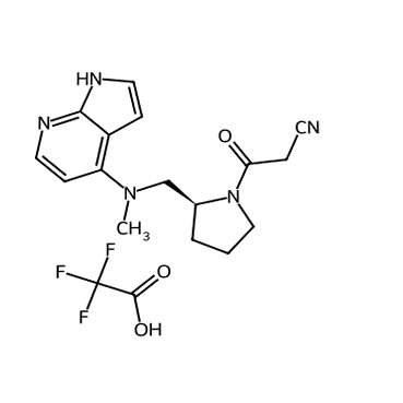 CN(C[C@@H]1CCCN1C(=O)CC#N)c1ccnc2[nH]ccc12.O=C(O)C(F)(F)F